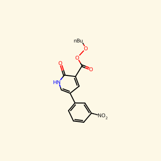 CCCCOOC(=O)c1cc(-c2cccc([N+](=O)[O-])c2)c[nH]c1=O